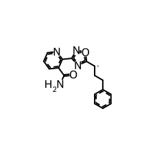 NC(=O)c1cccnc1-c1noc([CH]CCc2ccccc2)n1